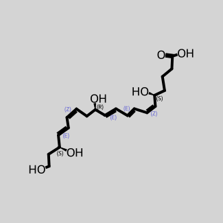 O=C(O)CCC[C@H](O)\C=C/C=C/C=C/[C@H](O)C/C=C\C=C\[C@@H](O)CCO